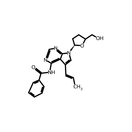 C/C=C/c1cn([C@H]2CCC(CO)O2)c2ncnc(NC(=O)c3ccccc3)c12